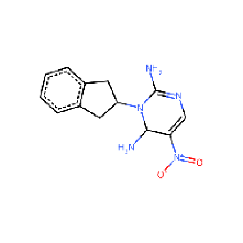 NC1=NC=C([N+](=O)[O-])C(N)N1C1Cc2ccccc2C1